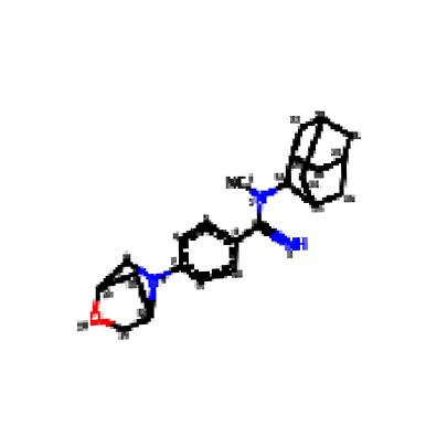 N#CN(C(=N)c1ccc(N2CC3CC2CO3)cc1)C1C2CC3CC(C2)CC1C3